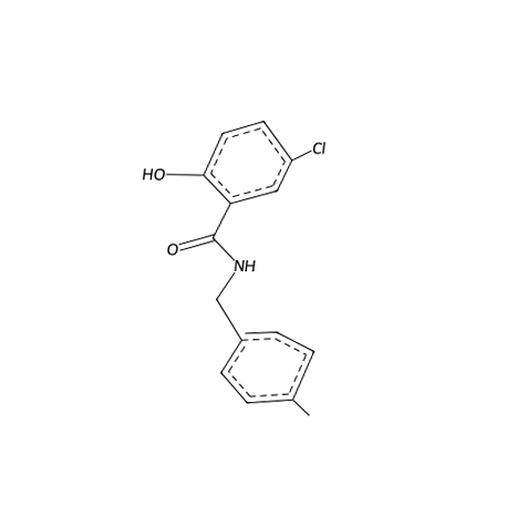 Cc1ccc(CNC(=O)c2cc(Cl)ccc2O)cc1